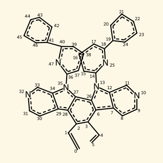 C=Cc1c(C=C)c2c3ccncc3n(-c3cccc(-c4ccccc4)n3)c2c2c1c1ccncc1n2-c1cccc(-c2ccccc2)n1